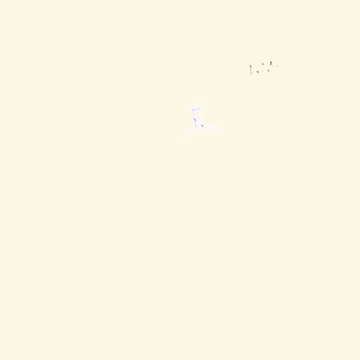 CNc1ccccc1Nc1cc2c(cc1C)-c1ccccc1C2(C)C